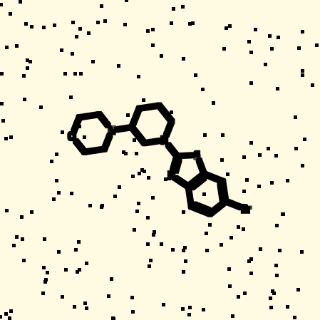 Brc1ccc2nc(N3CCCC(N4CCOCC4)C3)sc2c1